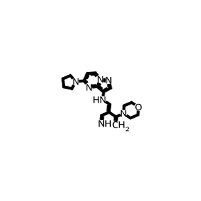 C=C(/C(C=N)=C/Nc1cnn2ccc(N3CCCC3)nc12)N1CCOCC1